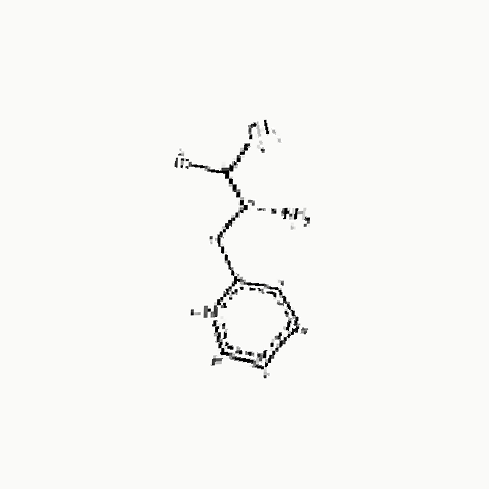 CC(O)[C@H](N)Cc1ccccn1